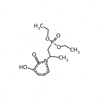 CCOP(=O)(CC(C)n1cccc(O)c1=O)OCC